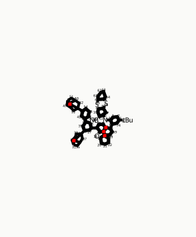 CC(C)(C)c1ccc(N2c3cc4c(cc3B3c5c2cc2c(oc6ccccc62)c5-c2cc(C56CC7CC(CC(C7)C5)C6)cc5c6cc(C78CC9CC(CC(C9)C7)C8)ccc6n3c25)Sc2ccccc2S4)c(-c2ccccc2)c1